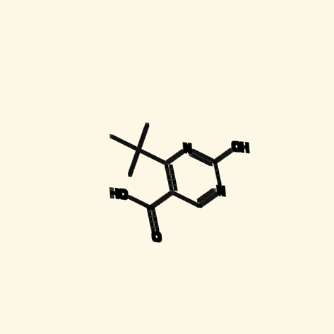 CC(C)(C)c1nc(O)ncc1C(=O)O